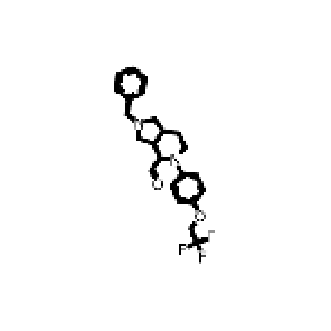 O=CC1C2CN(Cc3ccccc3)CC2CCN1c1ccc(OCC(F)(F)F)cc1